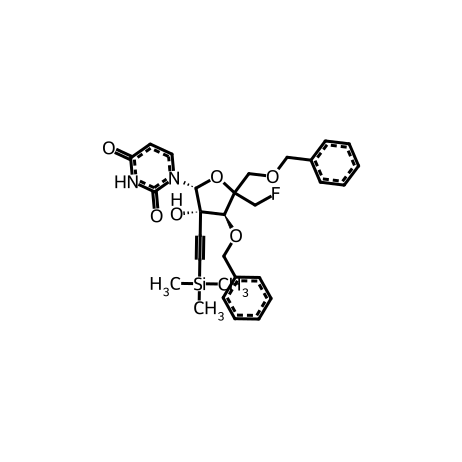 C[Si](C)(C)C#C[C@]1(O)[C@H](OCc2ccccc2)C(CF)(COCc2ccccc2)O[C@H]1n1ccc(=O)[nH]c1=O